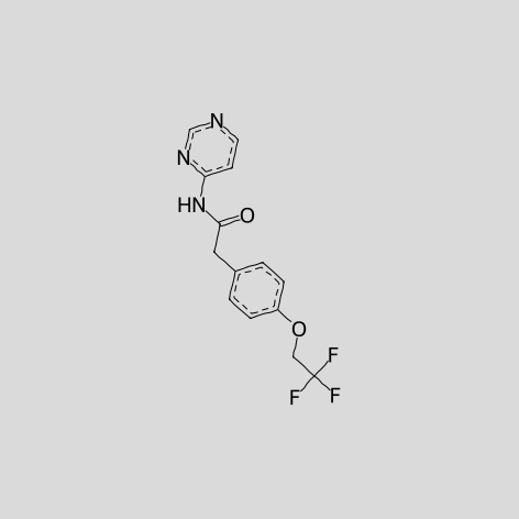 O=C(Cc1ccc(OCC(F)(F)F)cc1)Nc1ccncn1